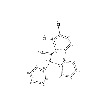 O=C(c1cccc(Cl)c1Cl)P(c1ccccc1)c1ccccc1